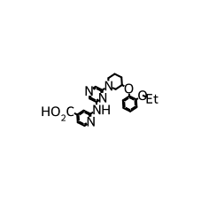 CCOc1ccccc1OC1CCCN(c2cncc(Nc3cc(C(=O)O)ccn3)n2)C1